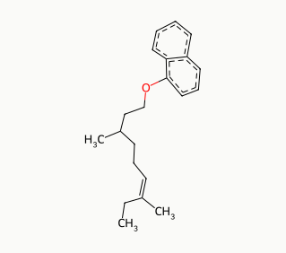 CCC(C)=CCCC(C)CCOc1cccc2ccccc12